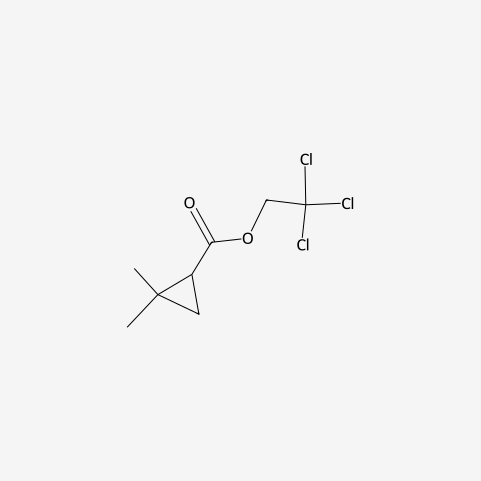 CC1(C)CC1C(=O)OCC(Cl)(Cl)Cl